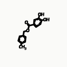 Cc1ccc(COC(=O)c2ccc(O)c(O)c2)cc1